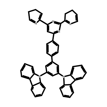 C1=CN=C(c2nc(C3=CCCC=N3)cc(-c3ccc(-c4cc(-n5c6ccccc6c6ccccc65)cc(-n5c6ccccc6c6ccccc65)c4)cc3)n2)CC1